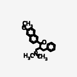 COc1ccc2cc(C(=O)C(Cc3ccccc3)CN(C)C)ccc2c1